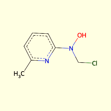 Cc1cccc(N(O)CCl)n1